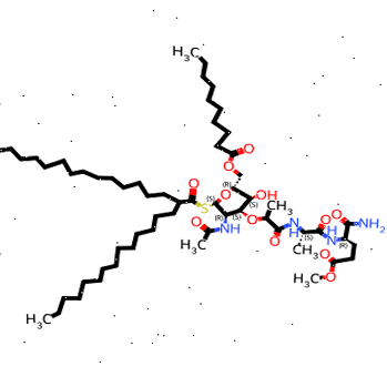 CCCCCCCCCCCCCCC(CCCCCCCCCCCCCC)C(=O)S[C@@H]1O[C@H](COC(=O)CCCCCCCCC)[C@@H](O)[C@@H](OC(C)C(=O)N[C@@H](C)C(=O)N[C@H](CCC(=O)OC)C(N)=O)[C@H]1NC(C)=O